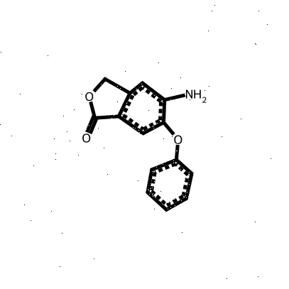 Nc1cc2c(cc1Oc1ccccc1)C(=O)OC2